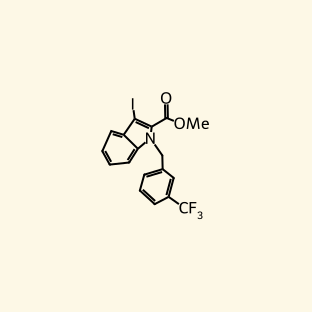 COC(=O)c1c(I)c2ccccc2n1Cc1cccc(C(F)(F)F)c1